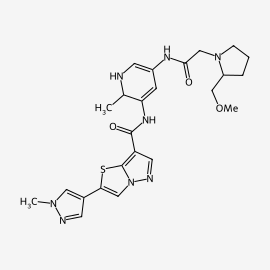 COCC1CCCN1CC(=O)NC1=CNC(C)C(NC(=O)c2cnn3cc(-c4cnn(C)c4)sc23)=C1